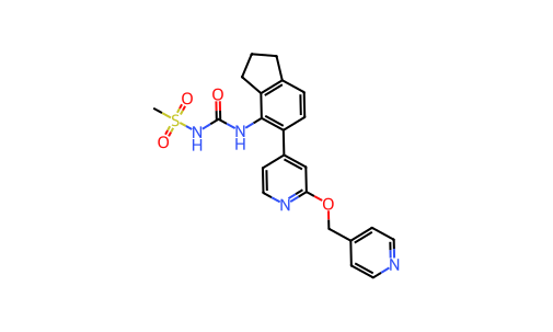 CS(=O)(=O)NC(=O)Nc1c(-c2ccnc(OCc3ccncc3)c2)ccc2c1CCC2